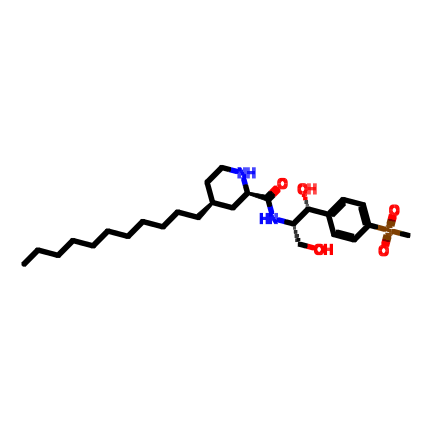 CCCCCCCCCCC[C@H]1CCN[C@@H](C(=O)N[C@@H](CO)[C@H](O)c2ccc(S(C)(=O)=O)cc2)C1